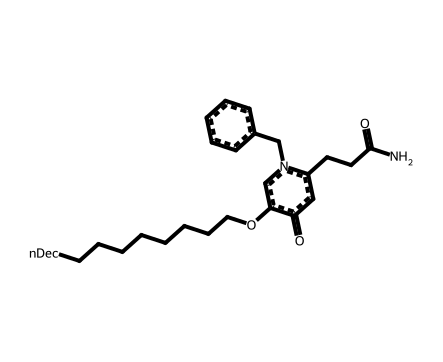 CCCCCCCCCCCCCCCCCCOc1cn(Cc2ccccc2)c(CCC(N)=O)cc1=O